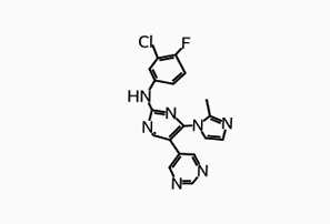 Cc1nccn1-c1nc(Nc2ccc(F)c(Cl)c2)ncc1-c1cncnc1